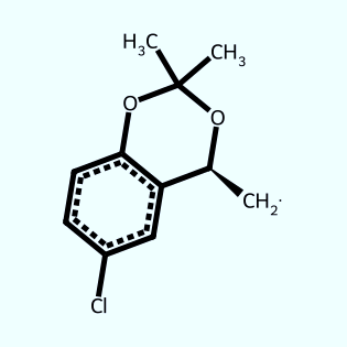 [CH2][C@@H]1OC(C)(C)Oc2ccc(Cl)cc21